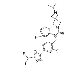 CC(C)N1CC2(CN(C(=S)N(Cc3ccc(-c4nnc(C(F)F)o4)cc3F)c3cccc(F)c3)C2)C1